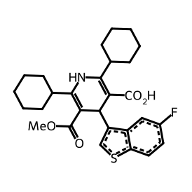 COC(=O)C1=C(C2CCCCC2)NC(C2CCCCC2)=C(C(=O)O)C1c1csc2ccc(F)cc12